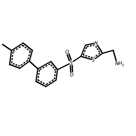 Cc1ccc(-c2cccc(S(=O)(=O)c3cnc(CN)s3)c2)cc1